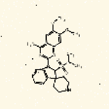 COc1cc2nc(N(C)C(C3(c4ccccc4)CCNCC3)S(=O)(=O)C(C)C)nc(N)c2cc1OC